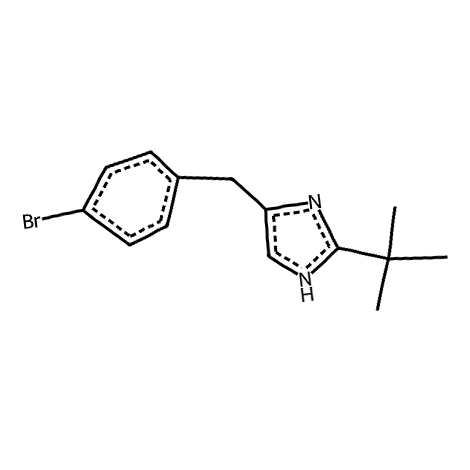 CC(C)(C)c1nc(Cc2ccc(Br)cc2)c[nH]1